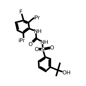 CC(C)c1ccc(F)c(C(C)C)c1NC(=O)NS(=O)(=O)c1cccc(C(C)(C)O)c1